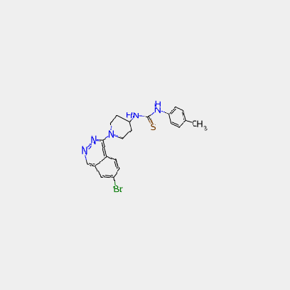 Cc1ccc(NC(=S)NC2CCN(c3nncc4cc(Br)ccc34)CC2)cc1